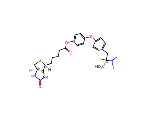 O=C1N[C@H]2[C@H](CS[C@H]2CCCCC(=O)Oc2ccc(Oc3ccc(C[C@@](I)(C(=O)O)N(I)I)cc3)cc2)N1